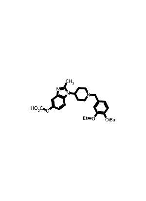 CCOc1cc(CN2CCC(n3c(C)nc4cc(OC(=O)O)ccc43)CC2)ccc1OCC(C)C